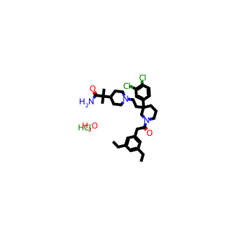 CCc1cc(CC)cc(CC(=O)N2CCCC(CCN3CCC(C(C)(C)C(N)=O)CC3)(c3ccc(Cl)c(Cl)c3)C2)c1.Cl.O